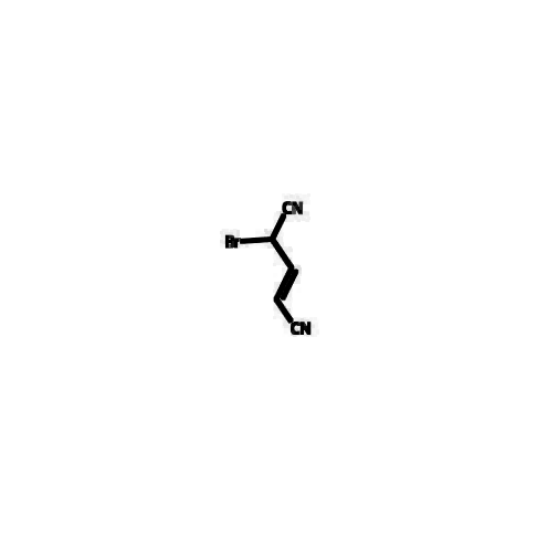 N#CC=CC(Br)C#N